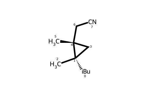 CCC(C)[C@@]1(C)C[C@@]1(C)CC#N